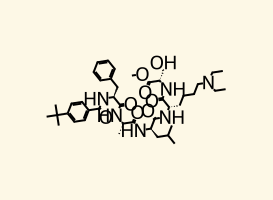 CCN(CC)CCCC[C@H](NC(=O)[C@@H](CC(C)C)NC(=O)[C@H](C)NC(=O)[C@H](Cc1ccccc1)NC(=O)c1ccc(C(C)(C)C)cc1)C(=O)N[C@@H](CO)C(=O)OC